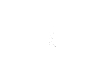 CCCC1CCC(C2CCC(C3CCCC(OC)C3)CC2)CC1